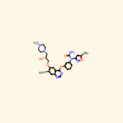 COc1cc2ncnc(Oc3cccc(N(C(N)=O)c4cc(C(C)(C)C)on4)c3)c2cc1OC[C@H](O)CN1CCN(C)CC1